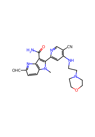 Cn1c(-c2cc(NCCN3CCOCC3)c(C#N)cn2)c(C(N)=O)c2nc(C=O)ccc21